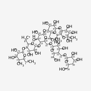 CCC1OC(OC2C(CC)OC(OC3C(COC4OC(CO)C(COC5OC(CO)CC(O)C5O)C(O)C4O)OC(OC4C(CC)OC(OC5C(CC)OC(C)(O)C(O)C5O)C(O)C4O)C(O)C3O)C(O)C2O)C(O)C(O)C1C